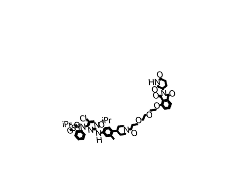 Cc1cc(Nc2ncc(Cl)c(Nc3ccccc3S(=O)(=O)C(C)C)n2)c(OC(C)C)cc1C1CCN(C(=O)CCOCCOCCOc2cccc3c2C(=O)N(C2CCC(=O)NC2=O)C3=O)CC1